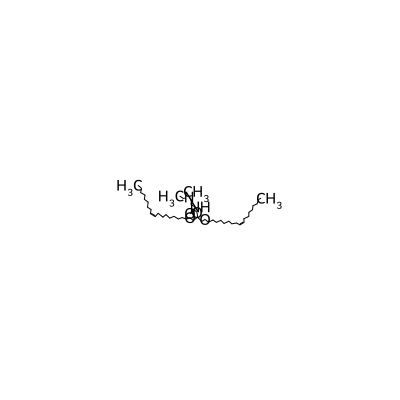 CCCCCCCC/C=C\CCCCCCCCOCC(COCCCCCCCC/C=C\CCCCCCCC)OC(=O)NCCN(C)CC